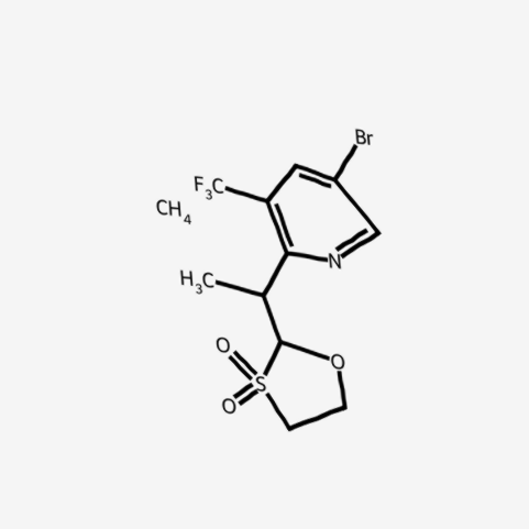 C.CC(c1ncc(Br)cc1C(F)(F)F)C1OCCS1(=O)=O